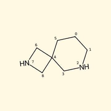 C1CNCC2(C1)CNC2